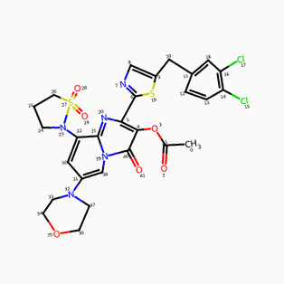 CC(=O)Oc1c(-c2ncc(Cc3ccc(Cl)c(Cl)c3)s2)nc2c(N3CCCS3(=O)=O)cc(N3CCOCC3)cn2c1=O